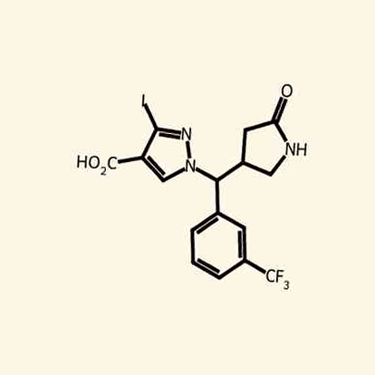 O=C1CC(C(c2cccc(C(F)(F)F)c2)n2cc(C(=O)O)c(I)n2)CN1